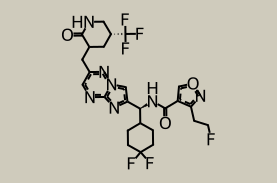 O=C(N[C@H](c1cn2nc(CC3C[C@@H](C(F)(F)F)CNC3=O)cnc2n1)C1CCC(F)(F)CC1)c1conc1CCF